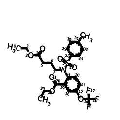 CCOC(=O)CCCN(c1ccc(OC(F)(F)F)cc1C(=O)OCC)S(=O)(=O)c1ccc(C)cc1